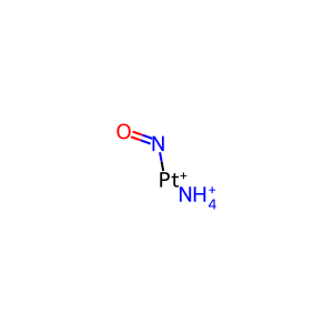 O=[N][Pt+].[NH4+]